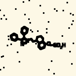 O=C(O)COc1cccc2c1CCCC2CCn1cnc(-c2ccccc2)c1-c1ccccc1